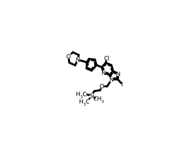 C[Si](C)(C)CCOCn1c(I)nc2cc(Cl)c(-c3ccc(N4CCOCC4)cc3)nc21